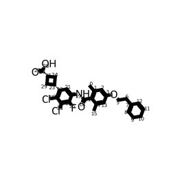 Cc1cc(OCCC2=CCCC=C2)cc(C)c1C(=O)Nc1cc([C@H]2C[C@@H](C(=O)O)C2)c(Cl)c(Cl)c1F